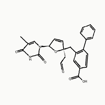 Cc1cn([C@H]2C=C[C@@](CC=O)(Cc3cc(C(=O)O)ccc3-c3ccccc3)O2)c(=O)[nH]c1=O